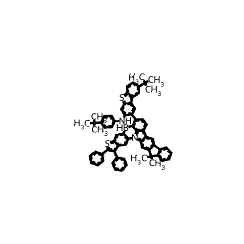 CC(C)(C)c1ccc(Nc2cc3sc4ccc(C(C)(C)C)cc4c3cc2-c2ccc3c4cc5c(cc4n4c3c2Bc2cc3sc(-c6ccccc6)c(-c6ccccc6)c3cc2-4)C(C)(C)c2ccccc2-5)cc1